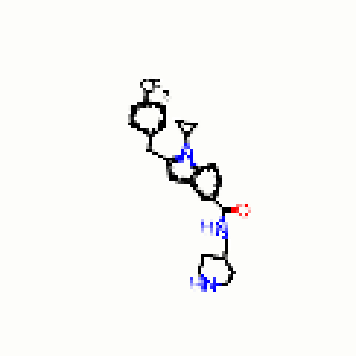 O=C(NCC1CCNCC1)c1ccc2c(c1)cc(Cc1ccc(C(F)(F)F)cc1)n2C1CC1